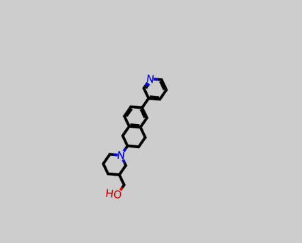 OCC1CCCN(C2CCc3cc(-c4cccnc4)ccc3C2)C1